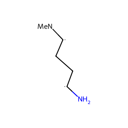 CN[CH]CC[CH]N